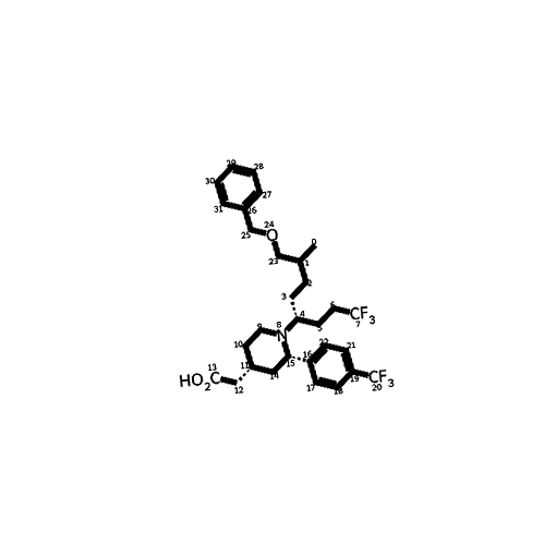 CC(CC[C@H](CCC(F)(F)F)N1CC[C@@H](CC(=O)O)C[C@H]1c1ccc(C(F)(F)F)cc1)COCc1ccccc1